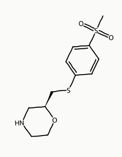 CS(=O)(=O)c1ccc(SC[C@@H]2CNCCO2)cc1